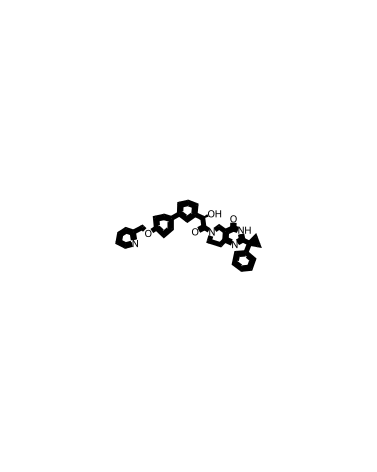 O=C([C@H](O)c1cccc(-c2ccc(OCc3ccccn3)cc2)c1)N1CCc2nc(C3(c4ccccc4)CC3)[nH]c(=O)c2C1